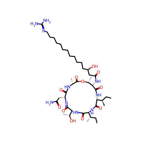 CC[C@@H](C)[C@H]1NC(=O)[C@@H](NC(=O)CC(O)CCCCCCCCCCCCN=C(N)N)[C@@H](C)OC(=O)[C@@H](C)NC(=O)[C@@H](CC(N)=O)NC(=O)[C@@H]([C@@H](C)O)NC(=O)[C@H]([C@@H](C)CC)NC1=O